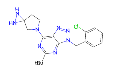 CC(C)(C)c1nc(N2CCC3(C2)NN3)c2nnn(Cc3ccccc3Cl)c2n1